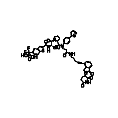 CC(C)(C)[C@H](NC(=O)c1cc2cc(C(F)(F)P(=O)(O)O)ccc2s1)C(=O)N1CCC[C@H]1C(=O)N(CCC(=O)NCCCC#Cc1cccc2c1CN(C1CCC(=O)NC1=O)C2=O)c1ccc(-c2cccs2)cc1